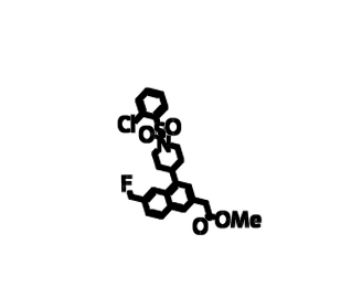 COC(=O)Cc1cc(C2CCN(S(=O)(=O)c3ccccc3Cl)CC2)c2cc(CF)ccc2c1